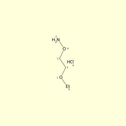 CCOCCON.Cl